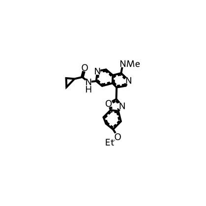 CCOc1ccc2oc(-c3cnc(NC)c4cnc(NC(=O)C5CC5)cc34)nc2c1